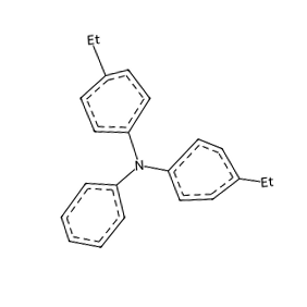 CCc1ccc(N(c2ccccc2)c2ccc(CC)cc2)cc1